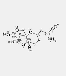 N#C[C@H](N)CC1CC[C@@H]2O[C@@H]3CC2(CO[C@H]3O)O1